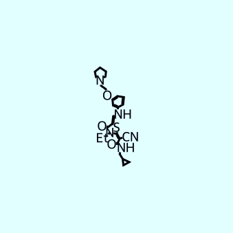 CCn1c(=C(C#N)C(=O)NCC2CC2)sc(=CNc2cccc(OCCN3CCCCC3)c2)c1=O